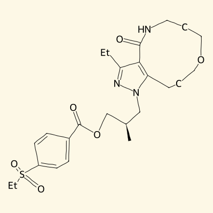 CCc1nn(C[C@@H](C)COC(=O)c2ccc(S(=O)(=O)CC)cc2)c2c1C(=O)NCCCOCCC2